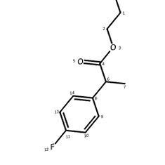 CCCOC(=O)C(C)c1ccc(F)cc1